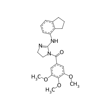 COc1cc(C(=O)N2CCN=C2Nc2cccc3c2CCC3)cc(OC)c1OC